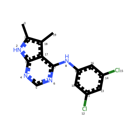 Cc1[nH]c2ncnc(Nc3cc(Cl)cc(Cl)c3)c2c1C